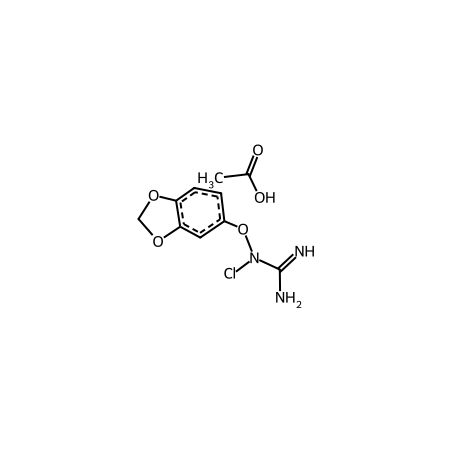 CC(=O)O.N=C(N)N(Cl)Oc1ccc2c(c1)OCO2